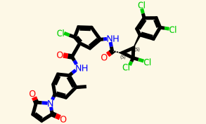 Cc1cc(N2C(=O)C=CC2=O)ccc1NC(=O)c1cc(NC(=O)[C@@H]2[C@@H](c3cc(Cl)cc(Cl)c3)C2(Cl)Cl)ccc1Cl